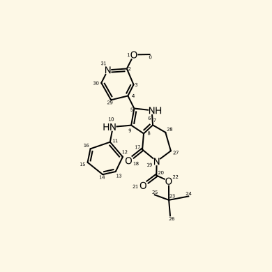 COc1cc(-c2[nH]c3c(c2Nc2ccccc2)C(=O)N(C(=O)OC(C)(C)C)CC3)ccn1